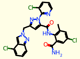 Cc1cc(Cl)cc(C(N)=O)c1NC(=O)c1cc(Cn2cc3c(Cl)cccc3n2)nn1-c1ncccc1Cl